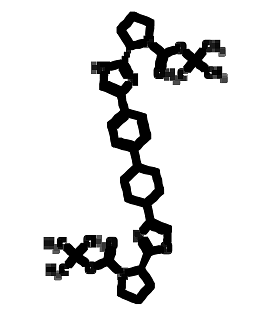 CC(C)(C)OC(=O)N1CCC[C@@H]1c1nc(C2CCC(c3ccc(-c4c[nH]c([C@@H]5CCCN5C(=O)OC(C)(C)C)n4)cc3)CC2)co1